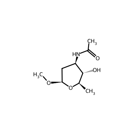 CO[C@H]1C[C@@H](NC(C)=O)[C@H](O)[C@@H](C)O1